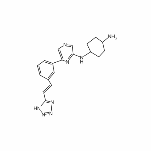 NC1CCC(Nc2cncc(-c3cccc(C=Cc4nnn[nH]4)c3)n2)CC1